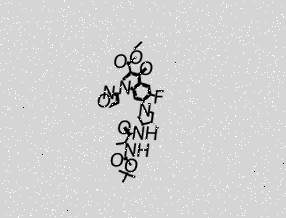 CCOC(=O)c1cn(-c2ccon2)c2cc(N3C[C@H](C)[C@H](NC(=O)C(C)NC(=O)OC(C)(C)C)C3)c(F)cc2c1=O